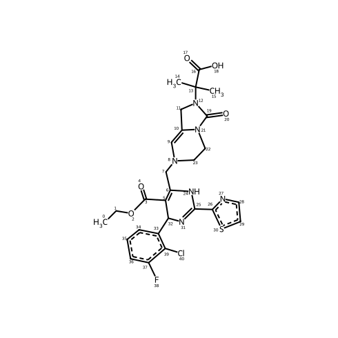 CCOC(=O)C1=C(CN2C=C3CN(C(C)(C)C(=O)O)C(=O)N3CC2)NC(c2nccs2)=NC1c1cccc(F)c1Cl